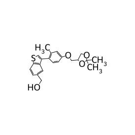 Cc1cc(OCC2COC(C)(C)O2)ccc1-c1csc2ccc(CO)cc12